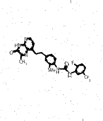 CSc1cc(CCc2ccnc3[nH]c(=O)c(C)nc23)ccc1NC(=O)Nc1cc(C(F)(F)F)ccc1F